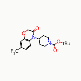 CC(C)(C)OC(=O)N1CCC(N2C(=O)COc3cc(C(F)(F)F)ccc32)CC1